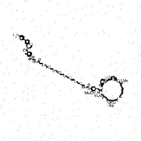 CO[C@H]1C[C@@H]2CC[C@@H](C)[C@@](O)(O2)C(=O)C(=O)N2CCCC[C@H]2C(=O)O[C@H]([C@H](N)C[C@@H]2CC[C@@H](OC(=O)NCCOCCOCCOCCOCCOCCOCCOCCOCCC(=O)NCCS(=O)(=O)c3ccc(C(=O)N4CCOc5ccc(-c6ccc(N)nc6)cc5C4)c(C)c3)[C@H](OC)C2)C[C@@H](OC)[C@H](C)/C=C(\C)[C@@H](O)[C@@H](O)C(=O)[C@H](C)C[C@H](C)/C=C/C=C/C=C/1C